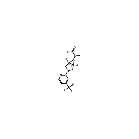 CN(C(=O)I)[C@H]1[C@@H]2CN(c3nccc(C(F)(F)F)n3)C[C@@H]21